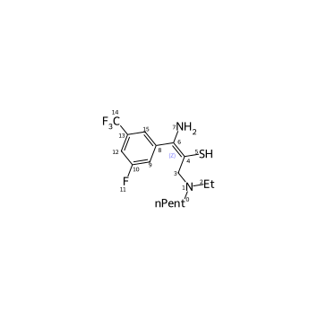 CCCCCN(CC)C/C(S)=C(/N)c1cc(F)cc(C(F)(F)F)c1